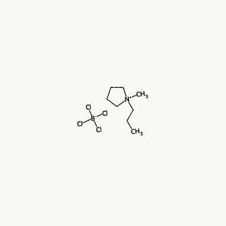 CCC[N+]1(C)CCCC1.Cl[B-](Cl)(Cl)Cl